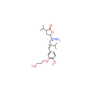 COCCCOc1cc(C[C@@H](C[C@H](N)C2CC(C(C)C)C(=O)O2)C(C)C)ccc1OC